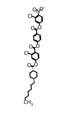 CCCCCCC[C@H]1CC[C@H](C(=O)Oc2ccc(C(=O)Oc3ccc(C(=O)Oc4ccc([N+](=O)[O-])c(Cl)c4)cc3)c(Cl)c2)CC1